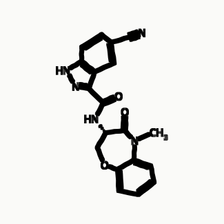 CN1C(=O)[C@@H](NC(=O)c2n[nH]c3ccc(C#N)cc23)COc2ccccc21